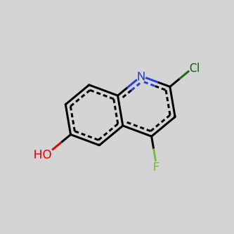 Oc1ccc2nc(Cl)cc(F)c2c1